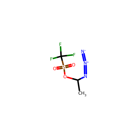 CC(N=[N+]=[N-])OS(=O)(=O)C(F)(F)F